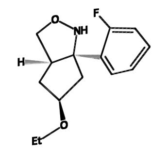 CCO[C@H]1C[C@H]2CON[C@@]2(c2ccccc2F)C1